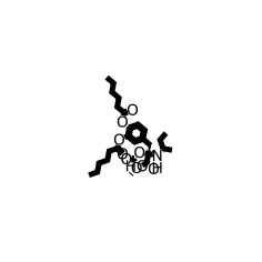 CCCCCC(=O)Oc1ccc(C[C@](NC(C)CC)(OC(=O)OC)C(=O)O)cc1OC(=O)CCCCC